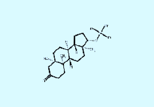 CC(C)[Si](O[C@H]1CC[C@H]2[C@@H]3CC[C@]4(C#N)CC(=O)CC[C@]4(C)[C@H]3CC[C@]12C)(C(C)C)C(C)C